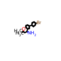 CC1(C)CC(N)c2cc(-c3ccc(Br)cc3)ccc2O1